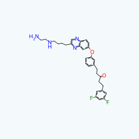 NCCNCCCCc1cnc2ccc(Oc3cccc(CCC(=O)CCc4cc(F)cc(F)c4)c3)cc2n1